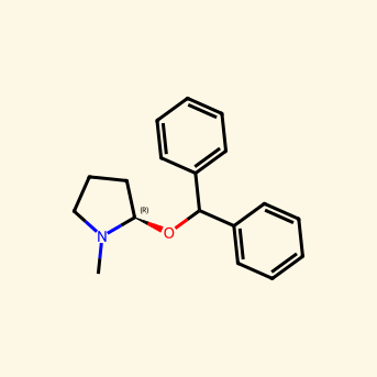 CN1CCC[C@H]1OC(c1ccccc1)c1ccccc1